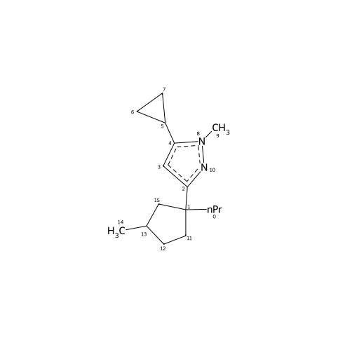 CCCC1(c2cc(C3CC3)n(C)n2)CCC(C)C1